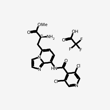 COC(=O)[C@@H](N)Cc1ccc(NC(=O)c2c(Cl)cncc2Cl)c2nccn12.O=C(O)C(F)(F)F